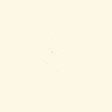 C/C=C1/CC[C@H]2[C@@H]3CO[C@H]4C[C@](C)(O)CC[C@@H]4[C@H]3CC[C@]12C